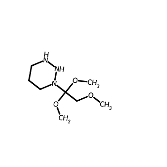 COCC(OC)(OC)N1CCCNN1